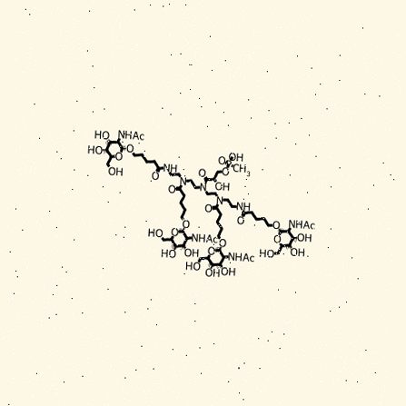 CC(=O)NC1[C@H](OCCCCC(=O)NCCN(CCN(CCN(CCNC(=O)CCCCO[C@@H]2OC(CO)[C@H](O)[C@H](O)C2NC(C)=O)C(=O)CCCCO[C@@H]2OC(CO)[C@H](O)[C@H](O)C2NC(C)=O)C(=O)C(O)COP(C)(=O)O)C(=O)CCCCO[C@@H]2OC(CO)[C@H](O)[C@H](O)C2NC(C)=O)OC(CO)[C@H](O)[C@@H]1O